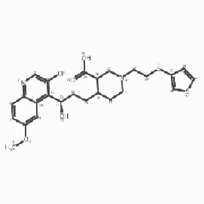 COc1ccc2ncc(Cl)c([C@H](O)CCC3CCN(CCSc4ccsc4)CC3C(=O)O)c2c1